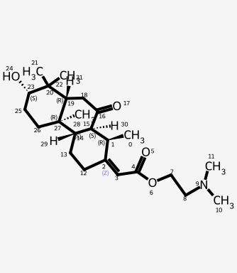 C[C@H]1/C(=C\C(=O)OCCN(C)C)CC[C@H]2[C@H]1C(=O)C[C@H]1C(C)(C)[C@@H](O)CC[C@]21C